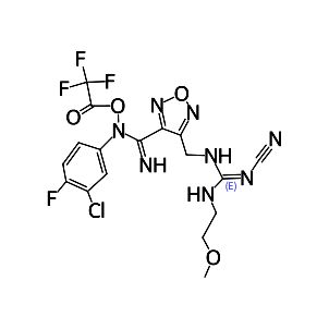 COCCN/C(=N/C#N)NCc1nonc1C(=N)N(OC(=O)C(F)(F)F)c1ccc(F)c(Cl)c1